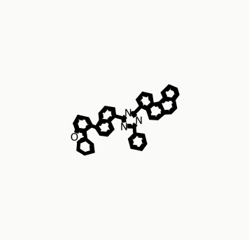 C1=Cc2c(oc3cccc(-c4cccc5c(-c6nc(-c7ccccc7)nc(-c7cccc8c7ccc7ccc9ccccc9c78)n6)cccc45)c23)CC1